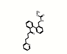 CC(C)(C)OC(=O)NCc1ccccc1-c1ccccc1C(=O)CCCc1ccccn1